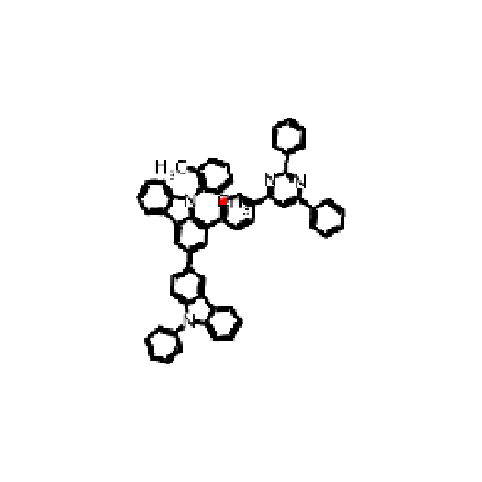 Cc1cccc(C)c1-n1c2ccccc2c2cc(-c3ccc4c(c3)c3ccccc3n4-c3ccccc3)cc(-c3ccc(-c4cc(-c5ccccc5)nc(-c5ccccc5)n4)cc3)c21